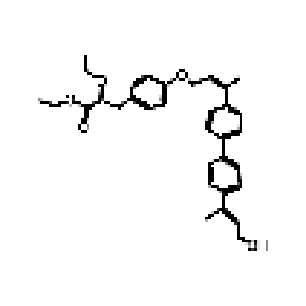 CCOC(=O)[C@H](Cc1ccc(OCC=C(C)c2ccc(-c3ccc(C(C)=CCO)cc3)cc2)cc1)OCC